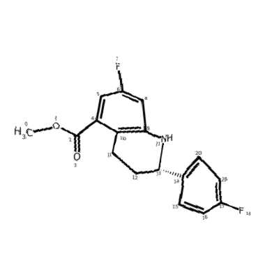 COC(=O)c1cc(F)cc2c1CC[C@@H](c1ccc(F)cc1)N2